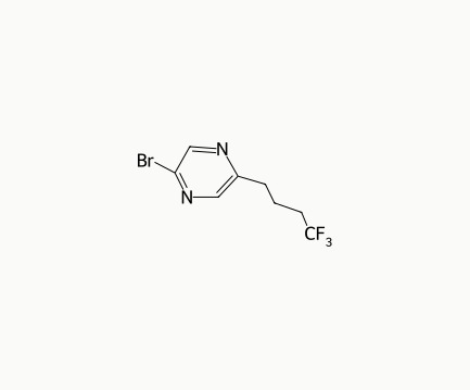 FC(F)(F)CCCc1cnc(Br)cn1